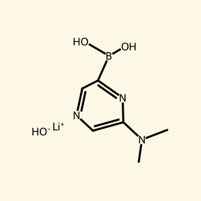 CN(C)c1cncc(B(O)O)n1.[Li+].[OH-]